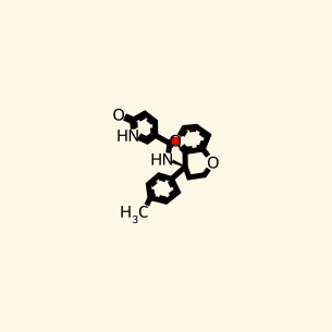 Cc1ccc([C@@]2(NC(=O)c3ccc(=O)[nH]c3)CCOc3cccnc32)cc1